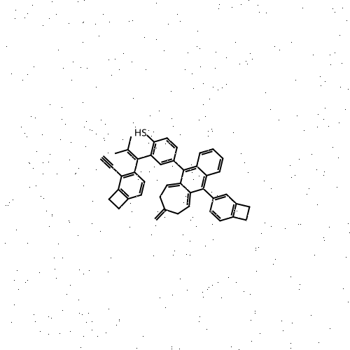 C#Cc1c(C(=C(C)C)c2cc(-c3c4c(c(-c5ccc6c(c5)CC6)c5ccccc35)=CCC(=C)CC=4)ccc2S)ccc2c1CC2